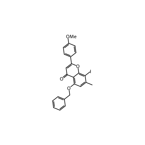 COc1ccc(-c2cc(=O)c3c(OCc4ccccc4)cc(C)c(I)c3o2)cc1